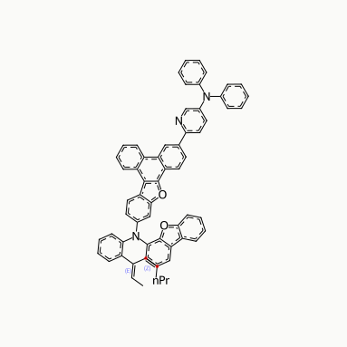 C/C=C(\C=C/CCC)c1ccccc1N(c1ccc2c(c1)oc1c3ccc(-c4ccc(N(c5ccccc5)c5ccccc5)cn4)cc3c3ccccc3c21)c1cccc2c1oc1ccccc12